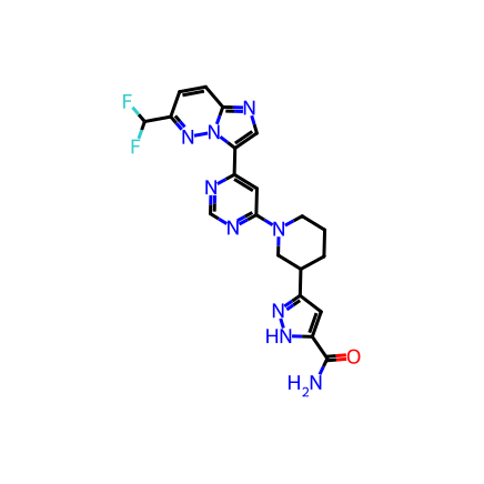 NC(=O)c1cc(C2CCCN(c3cc(-c4cnc5ccc(C(F)F)nn45)ncn3)C2)n[nH]1